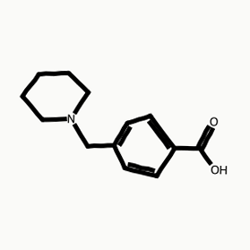 O=C(O)c1ccc(CN2CCCCC2)cc1